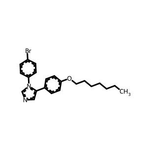 CCCCCCCOc1ccc(-c2cncn2-c2ccc(Br)cc2)cc1